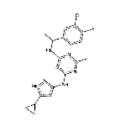 Cc1nc(Nc2cc(C3CC3)[nH]n2)nc(NC(C)c2ccc(F)c(Cl)c2)n1